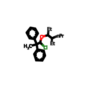 CCCC(CC)C(CC)OC(Cl)C(C)(c1ccccc1)c1ccccc1